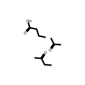 CC(C)=O.CCC(C)=O.CCCC(=O)O